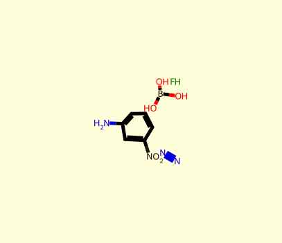 F.N#N.Nc1cccc([N+](=O)[O-])c1.OB(O)O